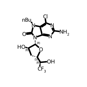 CCCCn1c(=O)n([C@@H]2O[C@H]([C@@H](O)C(F)(F)F)C[C@H]2O)c2nc(N)nc(Cl)c21